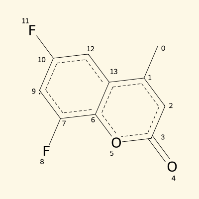 Cc1cc(=O)oc2c(F)[c]c(F)cc12